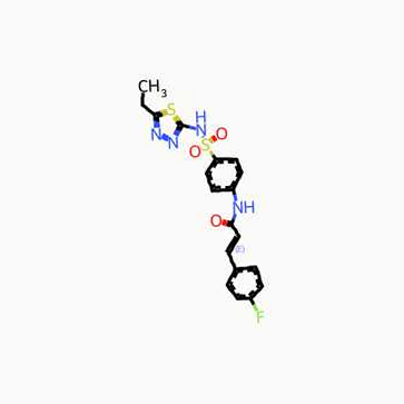 CCc1nnc(NS(=O)(=O)c2ccc(NC(=O)/C=C/c3ccc(F)cc3)cc2)s1